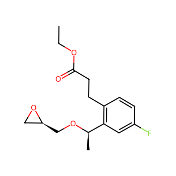 CCOC(=O)CCc1ccc(F)cc1[C@@H](C)OC[C@H]1CO1